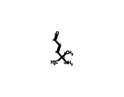 CC(C)(N)/C=C/C=O